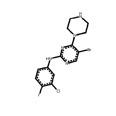 Fc1ccc(Nc2ncc(Br)c(N3CCNCC3)n2)cc1Cl